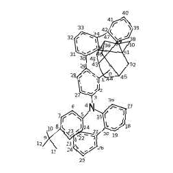 Cc1cc(N(c2ccc(C(C)(C)C)cc2)c2ccccc2-c2ccccc2)ccc1-c1cccc2c1C1(c3ccccc3-2)C2CC3CC(C2)C2CC21C3